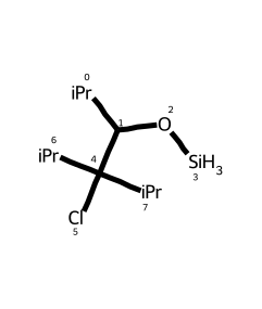 CC(C)C(O[SiH3])C(Cl)(C(C)C)C(C)C